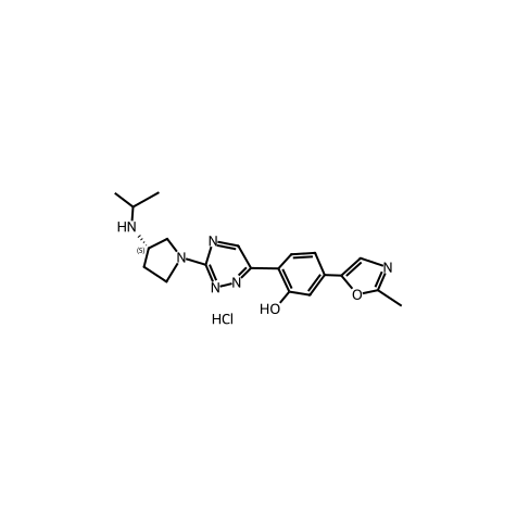 Cc1ncc(-c2ccc(-c3cnc(N4CC[C@H](NC(C)C)C4)nn3)c(O)c2)o1.Cl